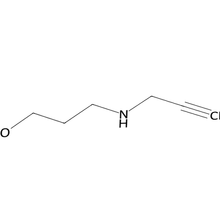 C#CCNCCC[O]